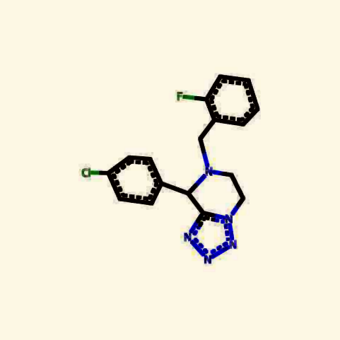 Fc1ccccc1CN1CCn2nnnc2C1c1ccc(Cl)cc1